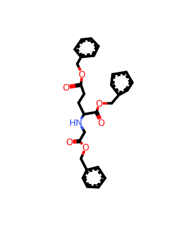 O=C(CCC(NCC(=O)OCc1ccccc1)C(=O)OCc1ccccc1)OCc1ccccc1